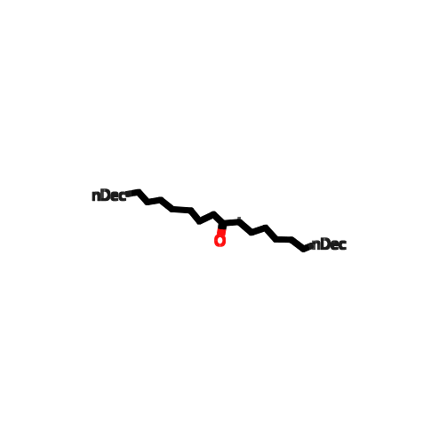 CCCCCCCCCCCCCCC[CH]C(=O)CCCCCCCCCCCCCCCCC